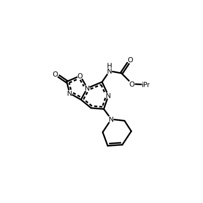 CC(C)OC(=O)Nc1nc(N2CC=CCC2)cc2nc(=O)on12